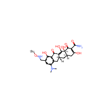 CN(C)c1cc(CNOC(C)(C)C)c(O)c2c1C[C@H]1C[C@H]3CC(O)=C(C(N)=O)C(=O)[C@@]3(O)C(O)=C1C2=O